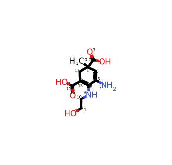 CC1(C(=O)O)C=C(N)C(NCCO)=C(C(=O)O)C1